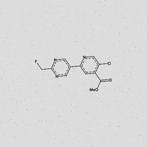 COC(=O)c1cc(-c2cnc(CF)nc2)ncc1Cl